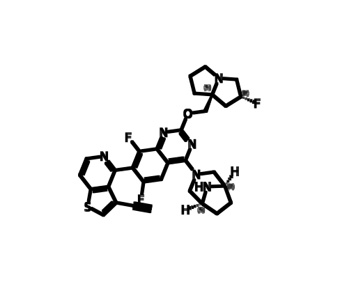 C#Cc1csc2ccnc(-c3c(F)cc4c(N5C[C@H]6CC[C@@H](C5)N6)nc(OC[C@@]56CCCN5C[C@H](F)C6)nc4c3F)c12